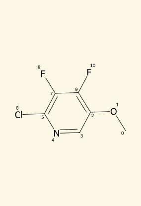 COc1cnc(Cl)c(F)c1F